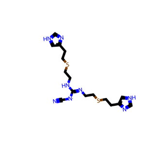 N#C[N]/C(=N\CCSCCc1c[nH]cn1)NCCSCCc1c[nH]cn1